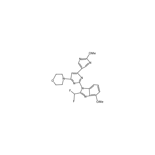 COc1ncc(-c2cc(N3CCOCC3)nc(-n3c(C(F)F)nc4c(OC)cccc43)n2)cn1